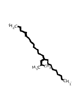 [CH2]CCC=CCCCCCCCC(CCCCCCCC[CH2])CC(C)C